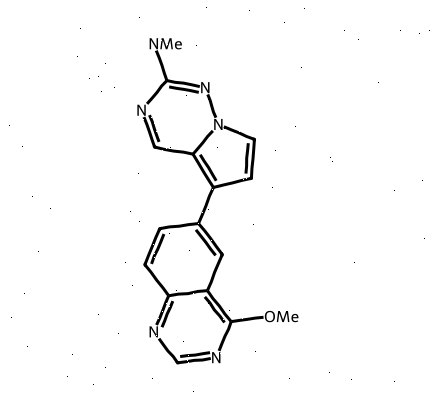 CNc1ncc2c(-c3ccc4ncnc(OC)c4c3)ccn2n1